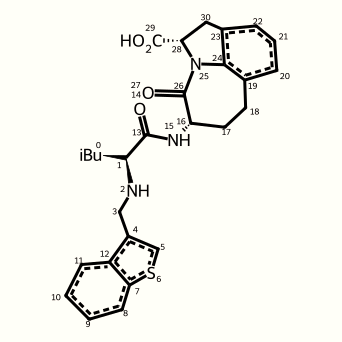 CC[C@H](C)[C@H](NCc1csc2ccccc12)C(=O)N[C@H]1CCc2cccc3c2N(C1=O)[C@H](C(=O)O)C3